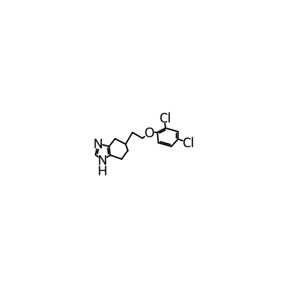 Clc1ccc(OCCC2CCc3[nH]cnc3C2)c(Cl)c1